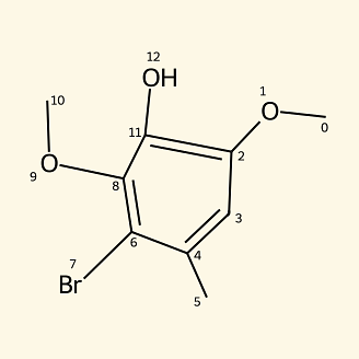 COc1cc(C)c(Br)c(OC)c1O